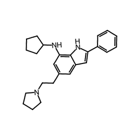 c1ccc(-c2cc3cc(CCN4CCCC4)cc(NC4CCCC4)c3[nH]2)cc1